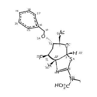 CC(=O)[C@H]1O[C@@H]2SC(N(C)C(=O)O)=N[C@@H]2[C@@H](F)[C@@H]1OCc1ccccc1